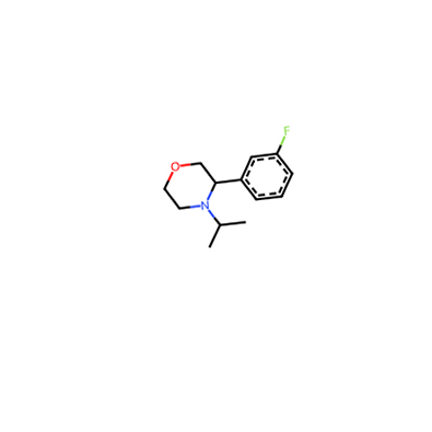 CC(C)N1CCOCC1c1cccc(F)c1